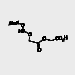 CNOBOCC(=O)OCC(=O)O